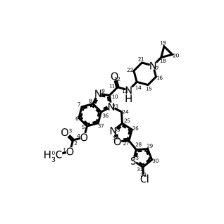 COC(=O)Oc1ccc2nc(C(=O)NC3CCN(C4CC4)CC3)n(Cc3cc(-c4ccc(Cl)s4)on3)c2c1